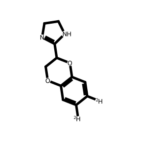 [2H]c1cc2c(cc1[2H])OC(C1=NCCN1)CO2